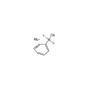 N#C[B-](F)(F)c1ccccc1.[Rb+]